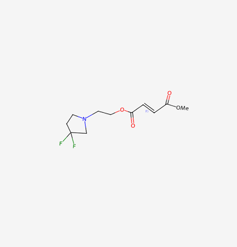 COC(=O)/C=C/C(=O)OCCN1CCC(F)(F)C1